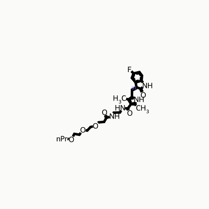 CCCOCCOCCOCCC(=O)NCCNC(=O)c1c(C)[nH]c(/C=C2\C(=O)Nc3ccc(F)cc32)c1C